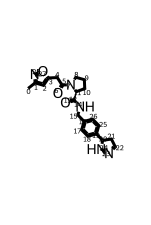 Cc1cc(CC(=O)N2CCC[C@H]2C(=O)NCc2ccc(C3CC=NN3)cc2)on1